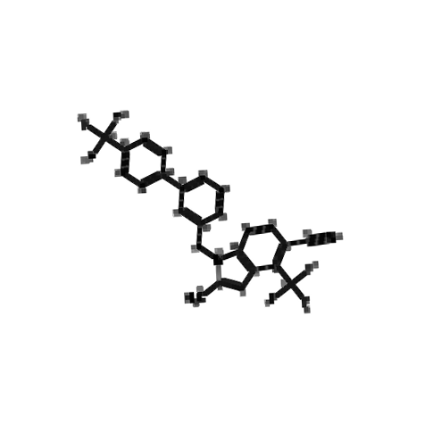 Cc1cc2c(C(F)(F)F)c(C#N)ccc2n1Cc1cccc(-c2ccc(C(F)(F)F)cc2)c1